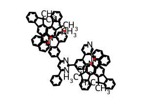 CC1(C)c2ccccc2-c2cc3c4ccccc4n(-c4ccc(-c5cc(-c6ccccc6)nc(-c6ccc(-n7c8ccccc8c8cc9c(cc87)C(C)(C)c7ccccc7-9)c(-c7ccncc7-n7c8ccccc8c8cc9c(cc87)C(C)(C)c7ccccc7-9)c6)n5)cc4-c4ccncc4-n4c5ccccc5c5cc6c(cc54)C(C)(C)c4ccccc4-6)c3cc21